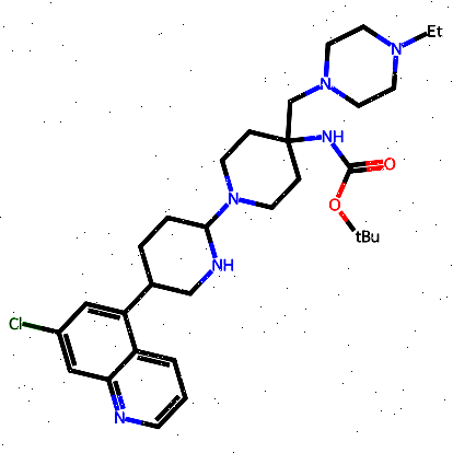 CCN1CCN(CC2(NC(=O)OC(C)(C)C)CCN(C3CCC(c4cc(Cl)cc5ncccc45)CN3)CC2)CC1